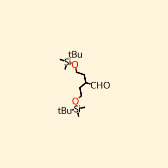 CC(C)(C)[Si](C)(C)OCCC(C=O)CCO[Si](C)(C)C(C)(C)C